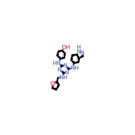 Oc1ccc(Nc2nc(NCc3ccco3)nc(Nc3ccc4[nH]ncc4c3)n2)cc1